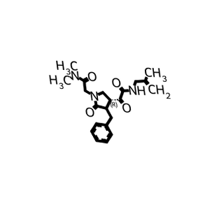 C=C(C)CNC(=O)C(=O)[C@H]1CN(CC(=O)N(C)C)C(=O)C1Cc1ccccc1